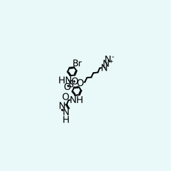 [N-]=[N+]=NCCCCCCOc1ccc(NC(=O)c2c[nH]cn2)cc1S(=O)(=O)Nc1ccc(Br)cc1